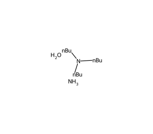 CCCCN(CCCC)CCCC.N.O